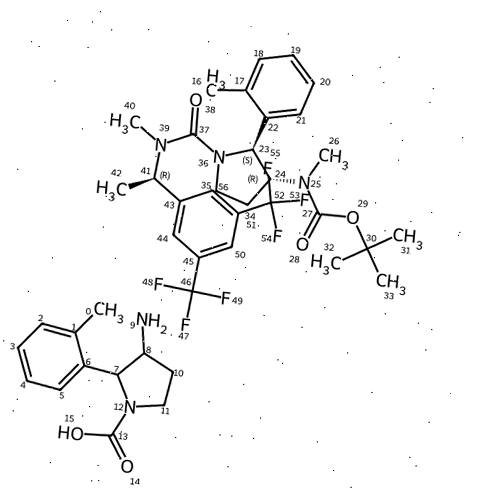 Cc1ccccc1C1C(N)CCN1C(=O)O.Cc1ccccc1[C@H]1[C@H](N(C)C(=O)OC(C)(C)C)CCN1C(=O)N(C)[C@H](C)c1cc(C(F)(F)F)cc(C(F)(F)F)c1